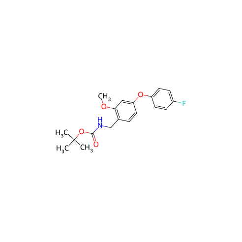 COc1cc(Oc2ccc(F)cc2)ccc1CNC(=O)OC(C)(C)C